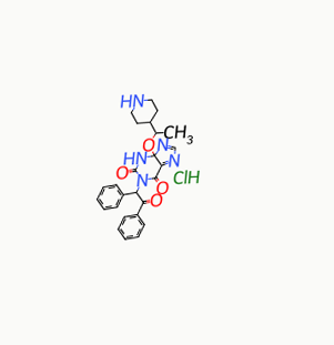 CC(OC12N=CN=C1C(=O)N(C(C(=O)c1ccccc1)c1ccccc1)C(=O)N2)C1CCNCC1.Cl